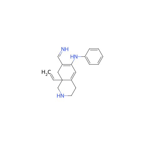 C=CC12CNCCC1=CC(Nc1ccccc1)=C(C=N)C2